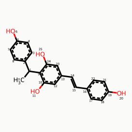 CC(c1ccc(O)cc1)c1c(O)cc(/C=C/c2ccc(O)cc2)cc1O